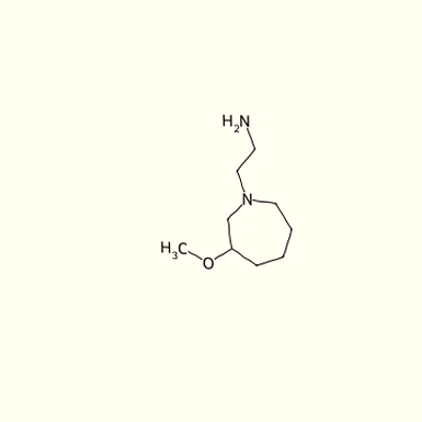 COC1CCCCN(CCN)C1